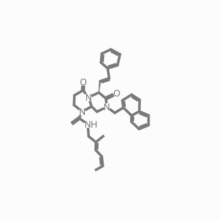 C=C(NC/C(C)=C/C=C\C)N1CCC(=O)N2C1CN(Cc1cccc3ccccc13)C(=O)[C@@H]2/C=C/c1ccccc1